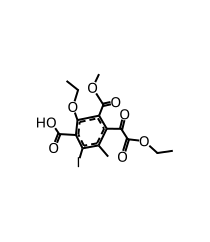 CCOC(=O)C(=O)c1c(C)c(I)c(C(=O)O)c(OCC)c1C(=O)OC